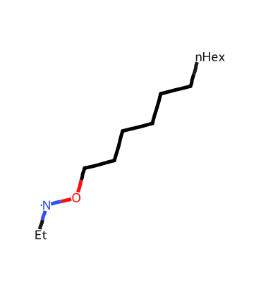 CCCCCCCCCCCCO[N]CC